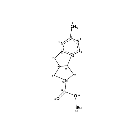 Cc1ncc2c(n1)CC1CN(C(=O)OC(C)(C)C)CC21